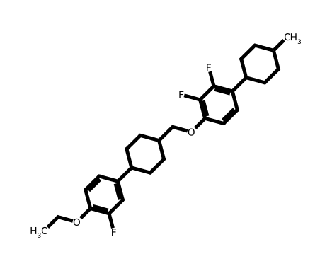 CCOc1ccc(C2CCC(COc3ccc(C4CCC(C)CC4)c(F)c3F)CC2)cc1F